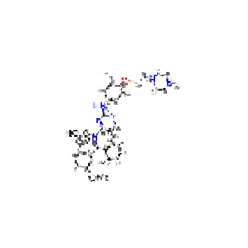 COc1ccc(OC)c(C(c2c(C)cccc2C)N(C(=O)O)c2ccnc(Nc3ccc(OCCN4CCN(C)CC4)c(F)c3)n2)c1